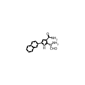 NC(=O)c1cc(-c2ccc3ccccc3c2)[nH]c1N(N)C=O